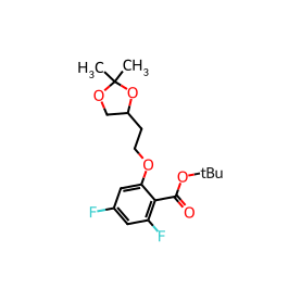 CC(C)(C)OC(=O)c1c(F)cc(F)cc1OCCC1COC(C)(C)O1